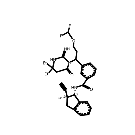 C#C[C@]1(C)Cc2ccccc2[C@H]1NC(=O)c1cccc(C(CCOC(F)F)N2C(=N)NC(CC)(CC)CC2=O)c1